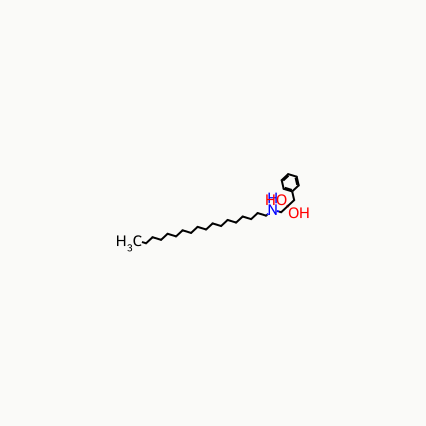 CCCCCCCCCCCCCCCCCCNCC(O)(O)Cc1ccccc1